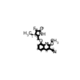 CC[C@H]1C(COc2cccc3cc(C#N)c(OC)nc23)NC(=O)C1F